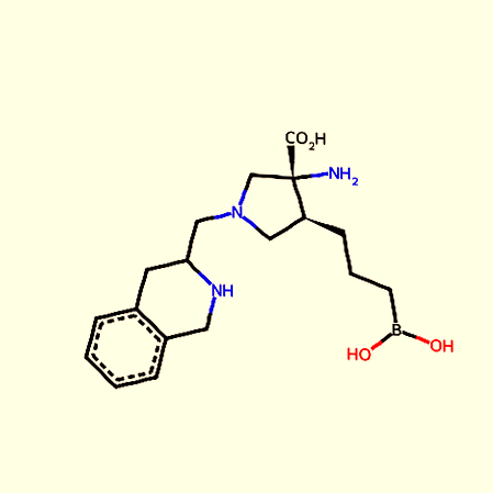 N[C@@]1(C(=O)O)CN(CC2Cc3ccccc3CN2)C[C@@H]1CCCB(O)O